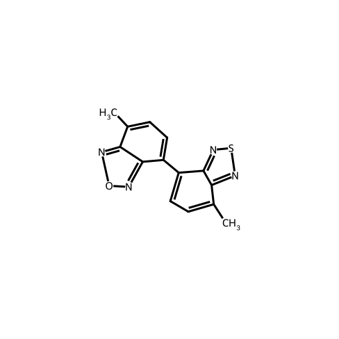 Cc1ccc(-c2ccc(C)c3nsnc23)c2nonc12